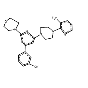 N#Cc1cccc(-c2cc(N3CCN(c4ncccc4C(F)(F)F)CC3)nc(N3CCOCC3)n2)c1